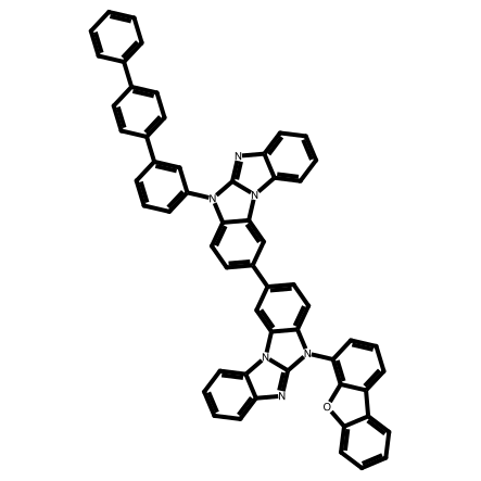 c1ccc(-c2ccc(-c3cccc(-n4c5ccc(-c6ccc7c(c6)n6c8ccccc8nc6n7-c6cccc7c6oc6ccccc67)cc5n5c6ccccc6nc45)c3)cc2)cc1